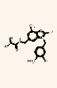 CCCc1nc2c(C)cc(CNC(=O)[C@H](S)CCC)cc2n1Cc1ccc(C(=O)O)c(Br)c1